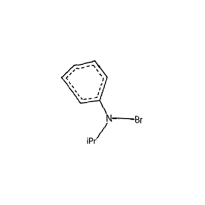 CC(C)N(Br)c1ccccc1